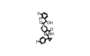 O=C(C(O)c1cccc(F)c1F)N1CCc2nc(C3(c4ccc(F)cc4)CC3)[nH]c(=O)c2C1